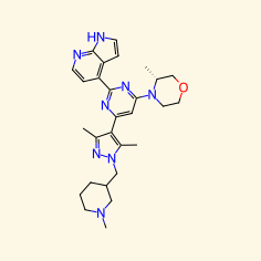 Cc1nn(CC2CCCN(C)C2)c(C)c1-c1cc(N2CCOC[C@H]2C)nc(-c2ccnc3[nH]ccc23)n1